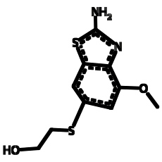 COc1cc(SCCO)cc2sc(N)nc12